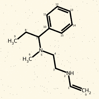 C=CNCCN(C)C(CC)c1ccccc1